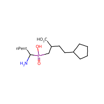 CCCCCC(N)P(=O)(O)CC(CCC1CCCC1)C(=O)O